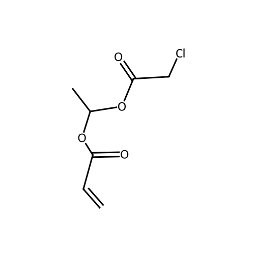 C=CC(=O)OC(C)OC(=O)CCl